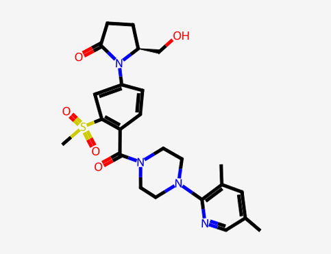 Cc1cnc(N2CCN(C(=O)c3ccc(N4C(=O)CC[C@H]4CO)cc3S(C)(=O)=O)CC2)c(C)c1